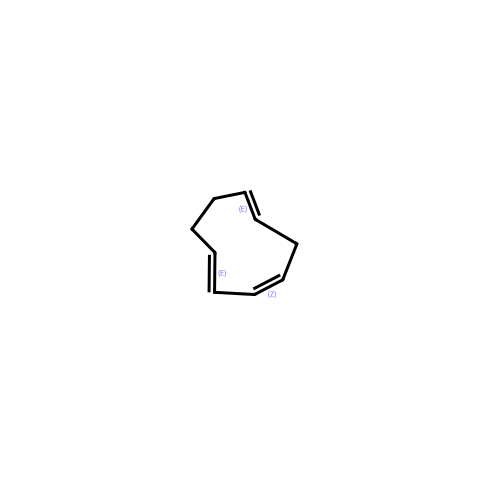 C1=C\C/C=C/CC/C=C/1